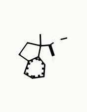 COC(=O)C1(C)CCc2ccccc21